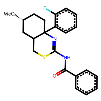 CO[C@@H]1CCC2(c3ccccc3F)N=C(NC(=O)c3ccccc3)SCC2C1